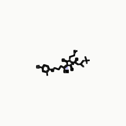 CSCCC1C(=O)/C(=C(/O)CCCOc2ccc(Cl)cc2C)C(=O)N1C(=O)CC(C)CC(C)(C)C